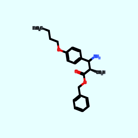 CCOC(=O)CCCOc1ccc(C(N)[C@@H](C(=O)O)C(=O)OCc2ccccc2)cc1